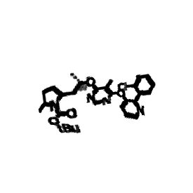 Cc1c(Oc2cccnc2-c2ccccc2Cl)ncnc1O[C@@H](C)CC1CCC(C)N1C(=O)OC(C)(C)C